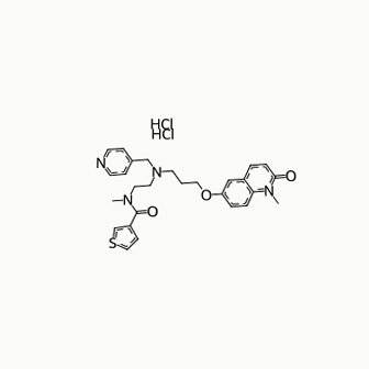 CN(CCN(CCCOc1ccc2c(ccc(=O)n2C)c1)Cc1ccncc1)C(=O)c1ccsc1.Cl.Cl